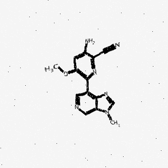 COc1cc(N)c(C#N)nc1-c1cncc2c1ncn2C